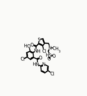 CN(Cc1csc(C(=O)Nc2c(O)cc(Cl)cc2C(=O)Nc2ccc(Cl)cn2)c1Cl)C[SH](=O)=O